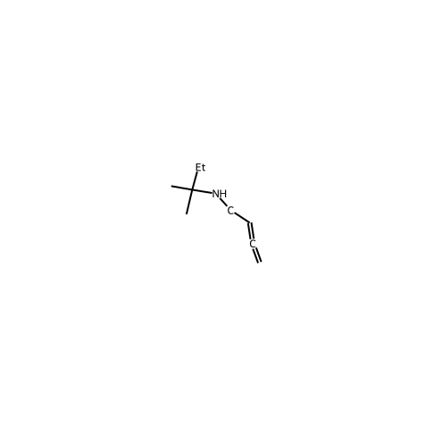 C=C=CCNC(C)(C)CC